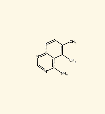 Cc1ccc2ncnc(N)c2c1C